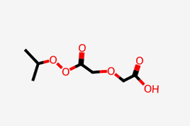 CC(C)OOC(=O)COCC(=O)O